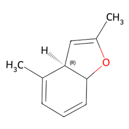 CC1=C[C@@H]2C(C)=CC=CC2O1